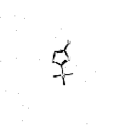 [Li][c]1csc([Si](C)(C)C)n1